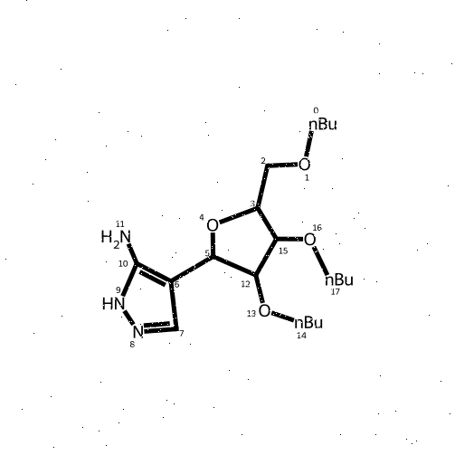 CCCCOCC1OC(c2cn[nH]c2N)C(OCCCC)C1OCCCC